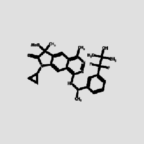 COC1(C)C(=O)N(C2CC2)c2cc3c(N[C@H](C)c4cccc(C(F)(F)C(C)(C)O)c4)nnc(C)c3cc21